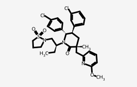 CC[C@@H](CN1CCCS1(=O)=O)N1C(=O)[C@@](C)(Cc2cccc(OC)n2)C[C@H](c2cccc(Cl)c2)[C@H]1c1ccc(Cl)cc1